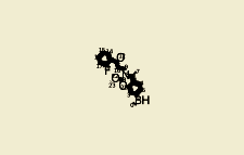 CBc1ccc([C@H](C)N(CCC(=O)c2ccccc2F)C(=O)OC)cc1